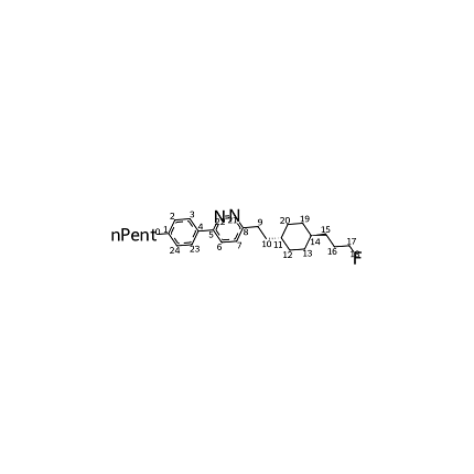 CCCCCc1ccc(-c2ccc(CC[C@H]3CC[C@H](CCCF)CC3)nn2)cc1